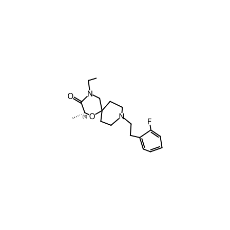 CCN1CC2(CCN(CCc3ccccc3F)CC2)O[C@H](C)C1=O